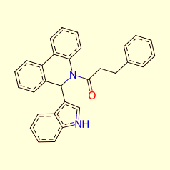 O=C(CCc1ccccc1)N1c2ccccc2-c2ccccc2C1c1c[nH]c2ccccc12